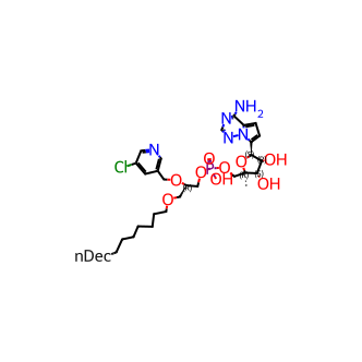 CCCCCCCCCCCCCCCCCOC[C@H](COP(=O)(O)OC[C@@]1(C)O[C@@H](c2ccc3c(N)ncnn23)[C@H](O)[C@@H]1O)OCc1cncc(Cl)c1